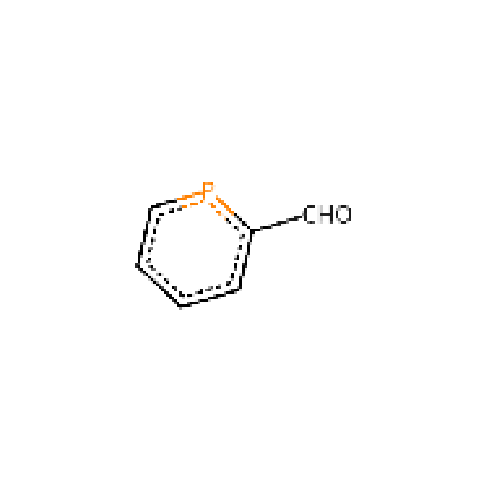 O=Cc1ccccp1